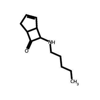 CCCCCNC1C(=O)C2CC=CC21